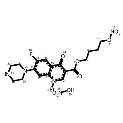 CCn1cc(C(=O)OCCCCO[N+](=O)[O-])c(=O)c2cc(F)c(N3CCNCC3)cc21.O=[N+]([O-])O